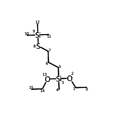 CCO[Si](C)(CCCS[Si](C)(C)C)OCC